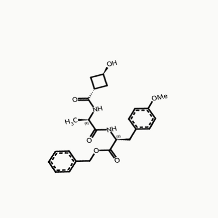 COc1ccc(C[C@H](NC(=O)[C@@H](C)NC(=O)[C@H]2C[C@H](O)C2)C(=O)OCc2ccccc2)cc1